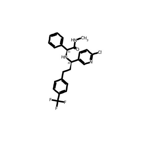 CNC(=O)[C@@H](N[C@H](CCc1ccc(C(F)(F)F)cc1)c1ccc(Cl)nc1)c1ccccc1